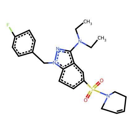 CCN(CC)c1nn(Cc2ccc(F)cc2)c2ccc(S(=O)(=O)N3CC=CCC3)cc12